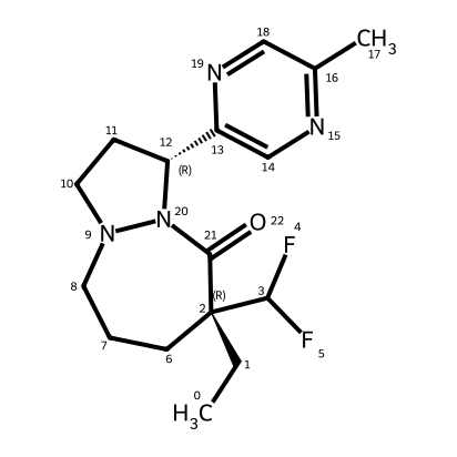 CC[C@@]1(C(F)F)CCCN2CC[C@H](c3cnc(C)cn3)N2C1=O